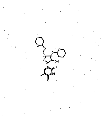 Cc1cn([C@@H]2O[C@H](COC3CCCCO3)[C@H](OC3CCCCO3)C2O)c(=O)[nH]c1=O